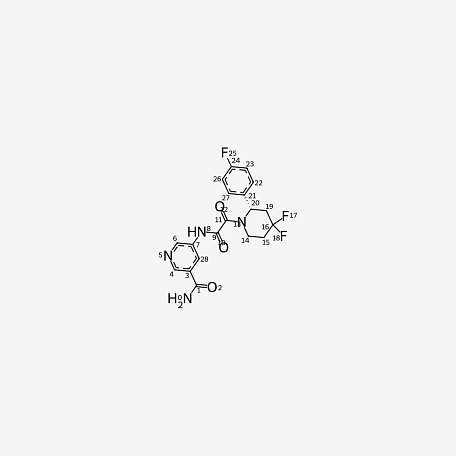 NC(=O)c1cncc(NC(=O)C(=O)N2CCC(F)(F)C[C@H]2c2ccc(F)cc2)c1